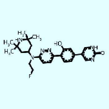 CC1(C)CC(N(CCF)c2ccc(-c3ccc(-c4cnc(=O)[nH]c4)cc3O)nn2)CC(C)(C)N1